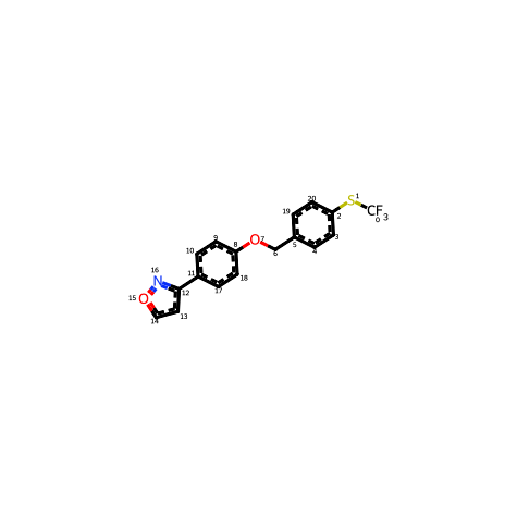 FC(F)(F)Sc1ccc(COc2ccc(-c3ccon3)cc2)cc1